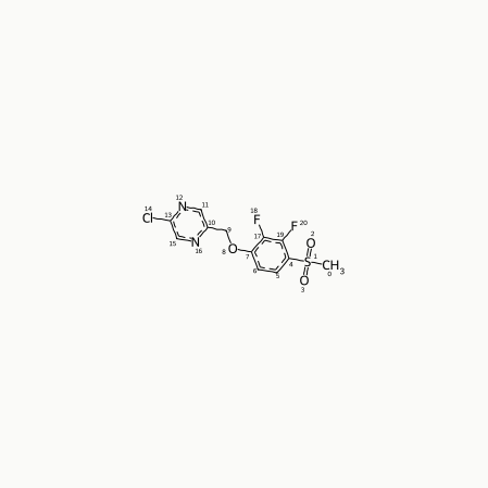 CS(=O)(=O)c1ccc(OCc2cnc(Cl)cn2)c(F)c1F